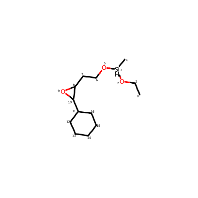 CCO[SiH](C)OCCC1OC1C1CCCCC1